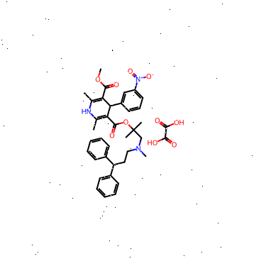 COC(=O)C1=C(C)NC(C)=C(C(=O)OC(C)(C)CN(C)CCC(c2ccccc2)c2ccccc2)C1c1cccc([N+](=O)[O-])c1.O=C(O)C(=O)O